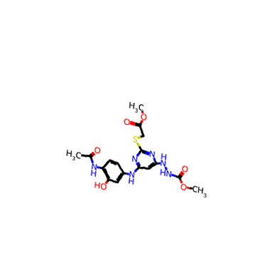 COC(=O)CSc1nc(NNC(=O)OC)cc(Nc2ccc(NC(C)=O)c(O)c2)n1